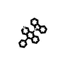 c1ccc(-c2c3ccccc3c(-n3c4ccccc4c4ccccc43)c3cnccc23)cc1